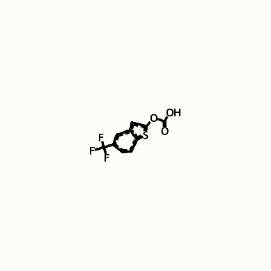 O=C(O)Oc1cc2cc(C(F)(F)F)ccc2s1